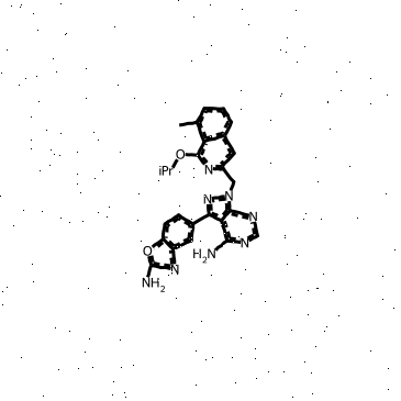 Cc1cccc2cc(Cn3nc(-c4ccc5oc(N)nc5c4)c4c(N)ncnc43)nc(OC(C)C)c12